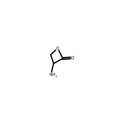 NC1COC1=O